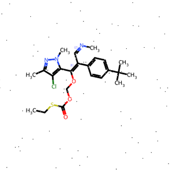 CCSC(=O)OCO/C(=C(/C=N\C)c1ccc(C(C)(C)C)cc1)c1c(Cl)c(C)nn1C